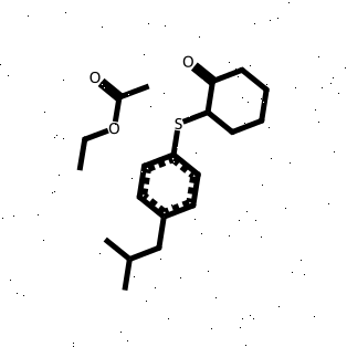 CC(C)Cc1ccc(SC2CCCCC2=O)cc1.CCOC(C)=O